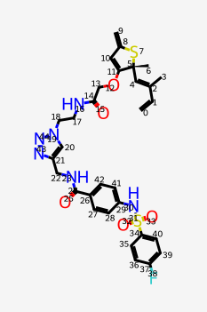 C=C/C(C)=C/[C@@]1(C)SC(=C)C=C1OCC(=O)NCCn1cc(CNC(=O)c2ccc(NS(=O)(=O)c3ccc(F)cc3)cc2)nn1